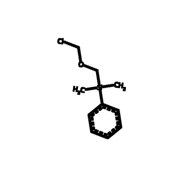 C[Si](C)(COCCl)c1ccccc1